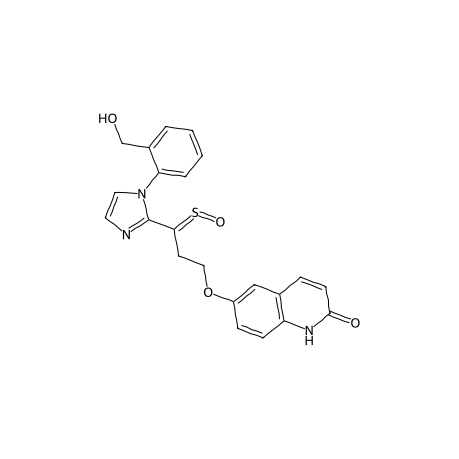 O=S=C(CCOc1ccc2[nH]c(=O)ccc2c1)c1nccn1-c1ccccc1CO